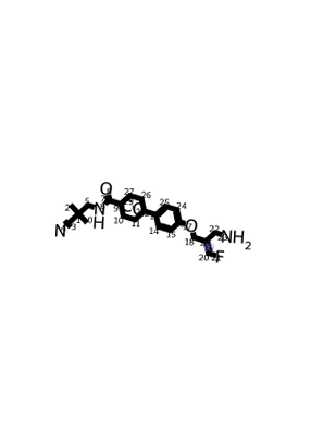 CC(C)(C#N)CNC(=O)C12CCC(c3ccc(OC/C(=C/F)CN)cc3)(CC1)CC2